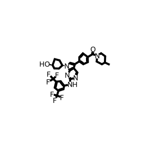 CC1CCN(C(=O)c2ccc(-c3cn([C@H]4CC[C@H](O)CC4)c4nc(Nc5cc(C(F)(F)F)cc(C(F)(F)F)c5)ncc34)cc2)CC1